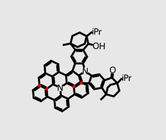 CC(C)C12CCC(C)(CC1)c1cc3c4cc5c(c6cccc7cccc(c76)n5-c5c(-c6ccccc6)cccc5-c5ccccc5)c5c6cc7c(cc6n(c3cc1C2=O)c45)C(O)C1(C(C)C)CCC7(C)CC1